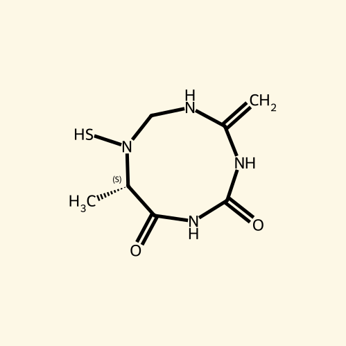 C=C1NCN(S)[C@@H](C)C(=O)NC(=O)N1